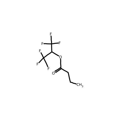 CCCC(=O)OC(C(F)(F)F)C(F)(F)F